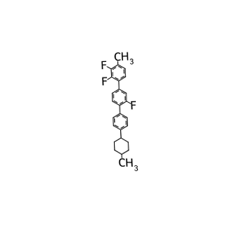 Cc1ccc(-c2ccc(-c3ccc(C4CCC(C)CC4)cc3)c(F)c2)c(F)c1F